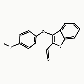 COc1ccc(Oc2c(C=O)sc3ccccc23)cc1